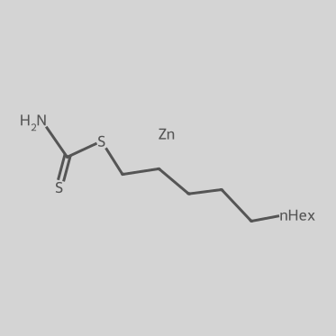 CCCCCCCCCCCSC(N)=S.[Zn]